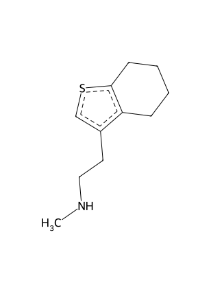 CNCCc1csc2c1CCCC2